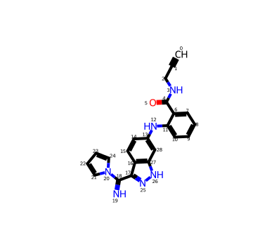 C#CCNC(=O)c1ccccc1Nc1ccc2c(C(=N)n3cccc3)n[nH]c2c1